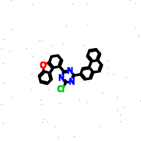 Clc1nc(C2=CCCc3oc4ccccc4c32)nc(-c2ccc3ccc4ccccc4c3c2)n1